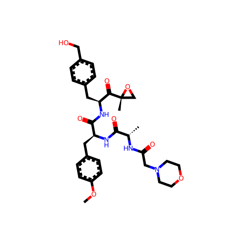 COc1ccc(C[C@H](NC(=O)[C@H](C)NC(=O)CN2CCOCC2)C(=O)N[C@@H](Cc2ccc(CO)cc2)C(=O)[C@@]2(C)CO2)cc1